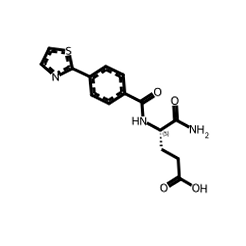 NC(=O)[C@H](CCC(=O)O)NC(=O)c1ccc(-c2nccs2)cc1